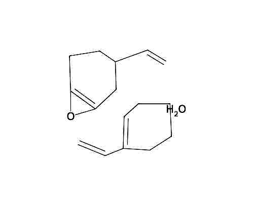 C=CC1=CCCCC1.C=CC1CCC2=C(C1)O2.O